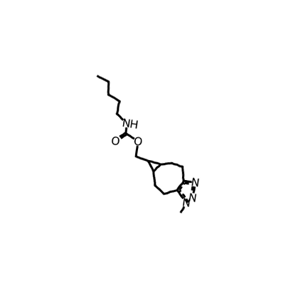 CCCCCNC(=O)OCC1C2CCc3nnn(C)c3CCC21